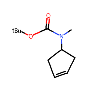 CN(C(=O)OC(C)(C)C)C1CC=CC1